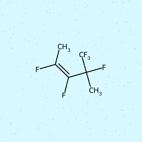 C/C(F)=C(/F)C(C)(F)C(F)(F)F